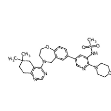 CC1(C)CCc2ncnc(N3CCOc4ccc(-c5cnc(N6CCOCC6)c(NS(C)(=O)=O)c5)cc4C3)c2C1